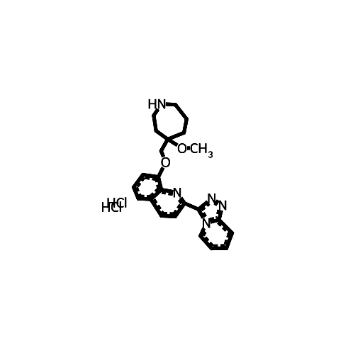 COC1(COc2cccc3ccc(-c4nnc5ccccn45)nc23)CCCNCC1.Cl.Cl